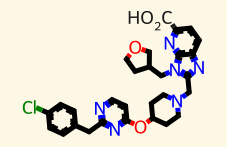 O=C(O)c1ccc2nc(CN3CCC(Oc4ccnc(Cc5ccc(Cl)cc5)n4)CC3)n(CC3CCOC3)c2n1